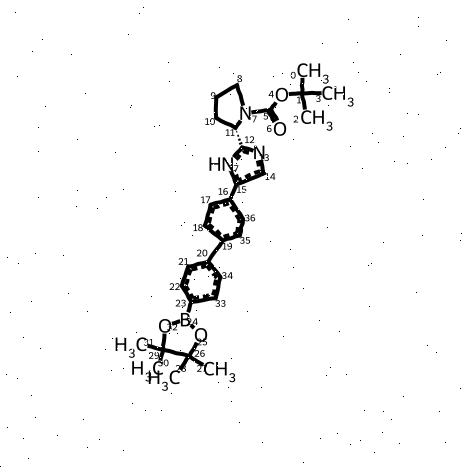 CC(C)(C)OC(=O)N1CCC[C@H]1c1ncc(-c2ccc(-c3ccc(B4OC(C)(C)C(C)(C)O4)cc3)cc2)[nH]1